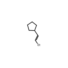 [CH2]C/C=C/C1CCCC1